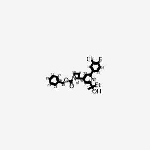 CCC(C)(O)c1cc([C@]2(C)CCN2C(=O)OCc2ccccc2)cc(-c2ccc(F)c(Cl)c2)n1